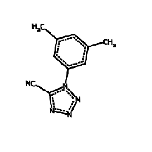 Cc1cc(C)cc(-n2nnnc2C#N)c1